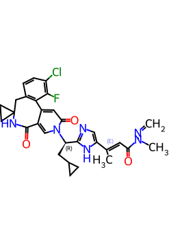 C=NN(C)C(=O)/C=C(\C)c1cnc([C@@H](CC2CC2)n2cc3c(cc2=O)-c2c(ccc(Cl)c2F)CC2(CC2)NC3=O)[nH]1